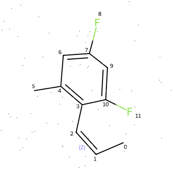 C/C=C\c1c(C)cc(F)cc1F